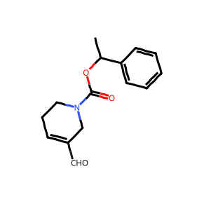 CC(OC(=O)N1CCC=C(C=O)C1)c1ccccc1